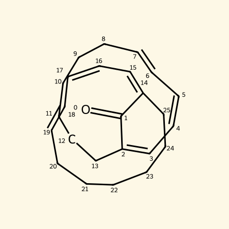 O=C(\C1=C/C=C\C=C\CCCCCC1)\C1=C/C=C\C=C\CCCCCC1